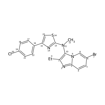 CCc1nc2ccc(Br)cn2c1N(C)c1nc(-c2ccc(Cl)cc2)cs1